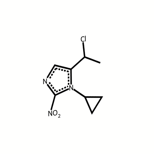 CC(Cl)c1cnc([N+](=O)[O-])n1C1CC1